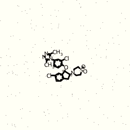 Cc1nnc(C)n1-c1ccc(O[C@@H]2c3cc(Cl)ccc3C[C@@H]2N2CCS(=O)(=O)CC2)c(Cl)c1